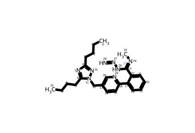 CCCCc1nc(CCCC)n(Cc2ccc(-c3ccccc3/C(=N/C)NN=N)nc2)n1